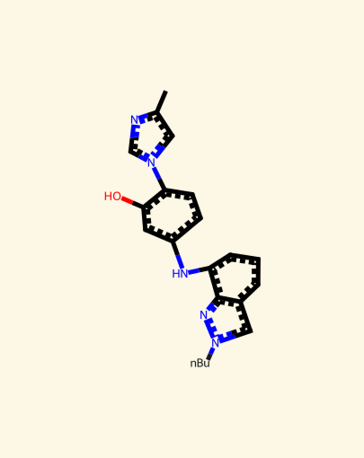 CCCCn1cc2cccc(Nc3ccc(-n4cnc(C)c4)c(O)c3)c2n1